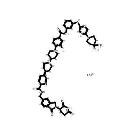 CC1(N)CCN(c2cnc(Sc3cccc(NC(=O)c4ccc(N5CCC(N6C=CC(=C7C=CC(C(=O)NCc8ccc9c(c8)CN(C8CCC(=O)NC8=O)C9=O)N=C7)CC6)CC5)c(F)c4)c3)cn2)CC1.Cl